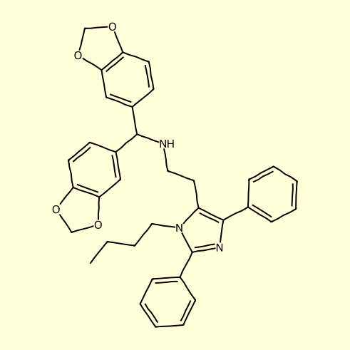 CCCCn1c(-c2ccccc2)nc(-c2ccccc2)c1CCNC(c1ccc2c(c1)OCO2)c1ccc2c(c1)OCO2